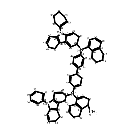 CC1CC=C(N(C2=CCC(c3ccc(N(c4cccc5c4CCCC5)C4C=c5c6c(n(C7=CCCCC7)c5=CC4)C=CCC6)cc3)C=C2)C2C=Cc3c(c4c(n3-c3ccccc3)C=CCC4)C2)C2=C1CCC=C2